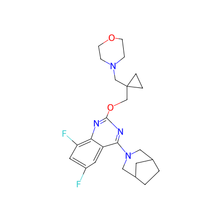 Fc1cc(F)c2nc(OCC3(CN4CCOCC4)CC3)nc(N3CC4CCC(C4)C3)c2c1